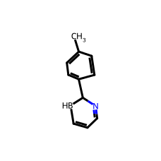 Cc1ccc(C2BC=CC=N2)cc1